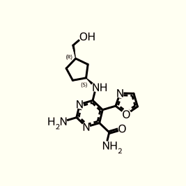 NC(=O)c1nc(N)nc(N[C@H]2CC[C@@H](CO)C2)c1-c1ncco1